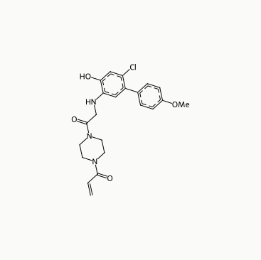 C=CC(=O)N1CCN(C(=O)CNc2cc(-c3ccc(OC)cc3)c(Cl)cc2O)CC1